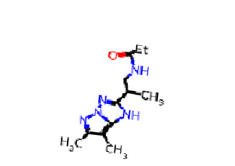 CCC(=O)NCC(C)c1nn2nc(C)c(C)c2[nH]1